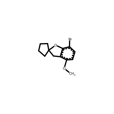 COc1ccc(Br)c2c1CC1(CCCC1)O2